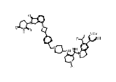 CN/C=C(\C=N)c1cc2c(cc1C(F)F)N(C(=N)C1=C(NC3CCN(Cc4ccc(C5CN(c6cccc7c6CN(C6CCC(=O)NC6=O)C7=O)C5)cc4)CC3)CCN(C(C)=O)C1)CCC2